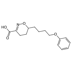 O=C(O)C1=NOC(CCCCOc2ccccc2)CC1